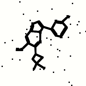 COc1cc2ncc(-c3cncc(Br)n3)n2nc1C1CC(F)(F)C1